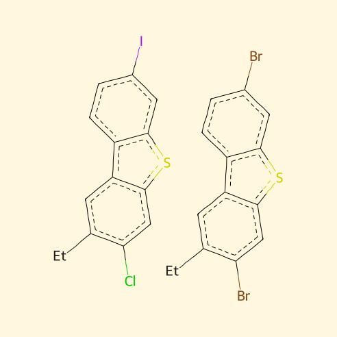 CCc1cc2c(cc1Br)sc1cc(Br)ccc12.CCc1cc2c(cc1Cl)sc1cc(I)ccc12